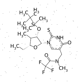 CC[C@H]1O[C@@H](n2cc(CN(C)C(=O)C(F)(F)F)c(=O)[nH]c2=S)[C@@H](O[Si](C)(C)C(C)(C)C)C1C